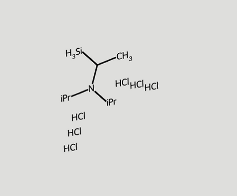 CC(C)N(C(C)C)C(C)[SiH3].Cl.Cl.Cl.Cl.Cl.Cl